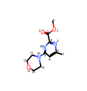 COC(=O)c1nc(C)cc(N2CCOCC2)n1